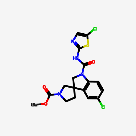 CC(C)(C)OC(=O)N1CCC2(C1)CN(C(=O)Nc1ncc(Cl)s1)c1ccc(Cl)cc12